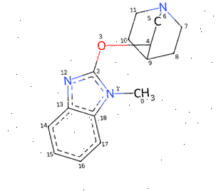 Cn1c(OC2CN3CCC2CC3)nc2ccccc21